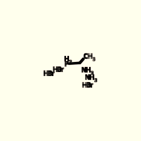 Br.Br.Br.CCP.N.N